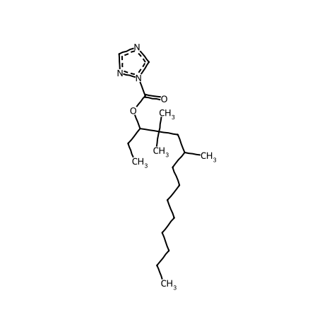 CCCCCCCCC(C)CC(C)(C)C(CC)OC(=O)n1cncn1